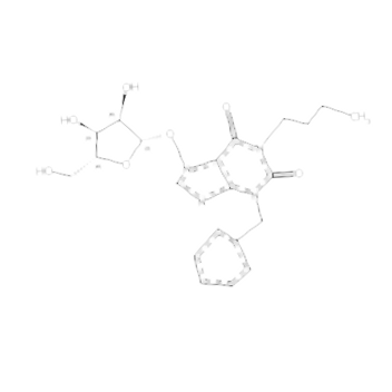 CCCCn1c(=O)c2c(ncn2O[C@@H]2O[C@H](CO)[C@@H](O)[C@H]2O)n(Cc2ccccc2)c1=O